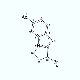 CC(=O)c1ccc2nc3n(c2c1)CCC3Br